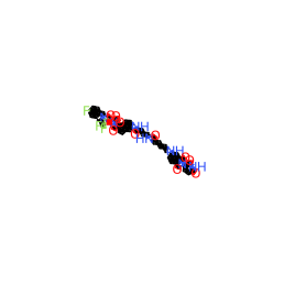 C[C@@H](N(Cc1ccc(F)cc1)C(=O)CN1C(=O)O[C@@]2(CCc3cc(NC(=O)CCCNC(=O)CCCCCNc4ccc5c(c4)C(=O)N(C4CCC(=O)NC4=O)C5=O)ccc32)C1=O)C(F)(F)F